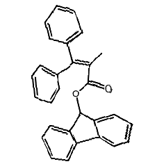 CC(C(=O)OC1c2ccccc2-c2ccccc21)=C(c1ccccc1)c1ccccc1